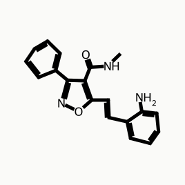 CNC(=O)c1c(-c2ccccc2)noc1C=Cc1ccccc1N